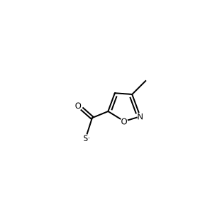 Cc1cc(C(=O)[S])on1